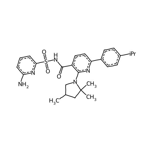 CC1CN(c2nc(-c3ccc(C(C)C)cc3)ccc2C(=O)NS(=O)(=O)c2cccc(N)n2)C(C)(C)C1